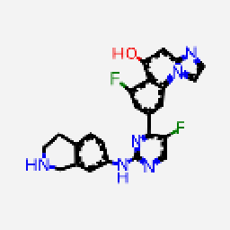 Oc1cc2nccn2c2cc(-c3nc(Nc4ccc5c(c4)CNCC5)ncc3F)cc(F)c12